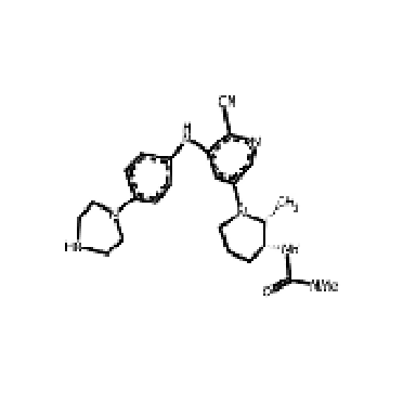 CNC(=O)N[C@@H]1CCCN(c2cnc(C#N)c(Nc3ccc(N4CCNCC4)cc3)c2)[C@@H]1C